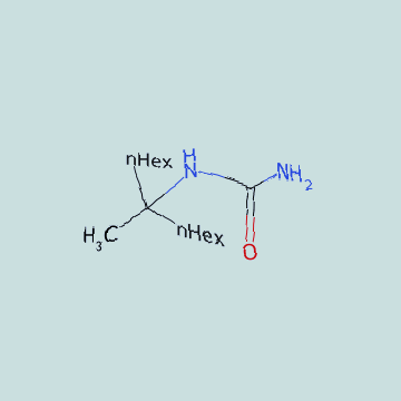 CCCCCCC(C)(CCCCCC)NC(N)=O